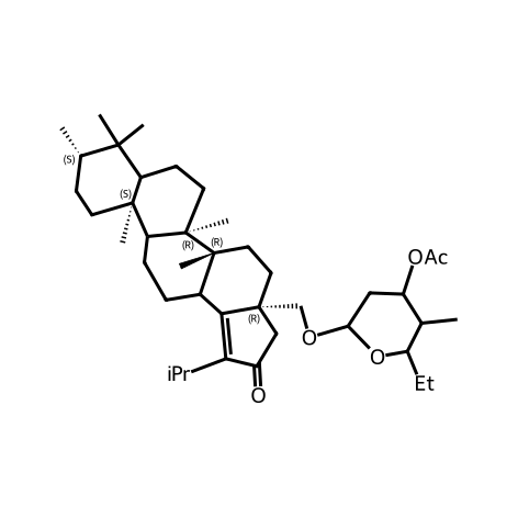 CCC1OC(OC[C@@]23CC[C@]4(C)C(CCC5[C@@]6(C)CC[C@H](C)C(C)(C)C6CC[C@]54C)C2=C(C(C)C)C(=O)C3)CC(OC(C)=O)C1C